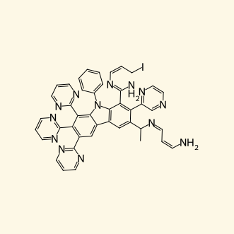 CC(/N=C\C=C/N)c1cc2c3cc(-c4ncccn4)c(-c4ncccn4)c(-c4ncccn4)c3n(-c3ccccc3)c2c(/C(N)=N/C=C\CI)c1-c1cnccn1